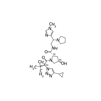 Cn1cnc(C(CNC(=O)[C@@H]2C[C@@H](O)CN2C(=O)[C@@H](n2cc(C3CC3)nn2)C(C)(C)C)N2CCCC2)c1